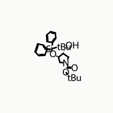 CC(C)(C)OC(=O)N1C[C@@H](CO)[C@H](O[Si](c2ccccc2)(c2ccccc2)C(C)(C)C)C1